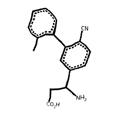 Cc1ccccc1-c1cc(C(N)CC(=O)O)ccc1C#N